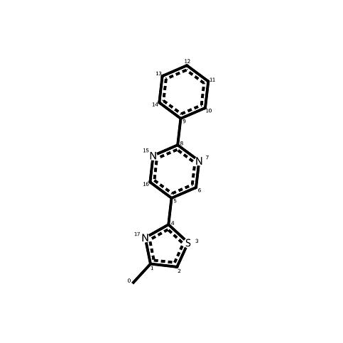 Cc1csc(-c2cnc(-c3ccccc3)nc2)n1